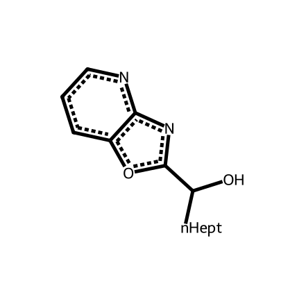 CCCCCCCC(O)c1nc2ncccc2o1